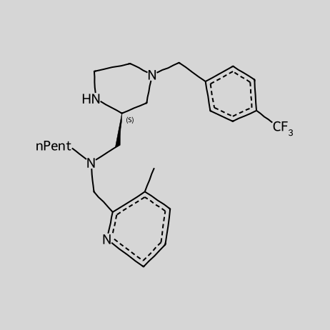 CCCCCN(Cc1ncccc1C)C[C@@H]1CN(Cc2ccc(C(F)(F)F)cc2)CCN1